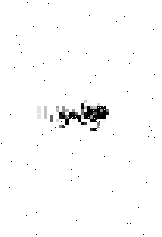 NC(=O)OCCON1C(=O)c2ccccc2C1=O